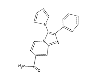 NC(=O)c1ccn2c(-n3cccc3)c(-c3ccccc3)nc2c1